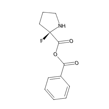 O=C(OC(=O)[C@]1(F)CCCN1)c1ccccc1